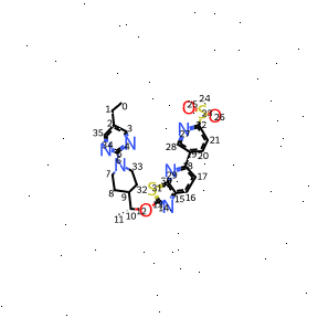 CCc1cnc(N2CCC([C@@H](C)Oc3nc4ccc(-c5ccc(S(C)(=O)=O)nc5)nc4s3)CC2)nc1